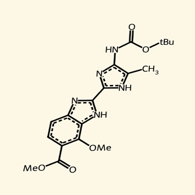 COC(=O)c1ccc2nc(-c3nc(NC(=O)OC(C)(C)C)c(C)[nH]3)[nH]c2c1OC